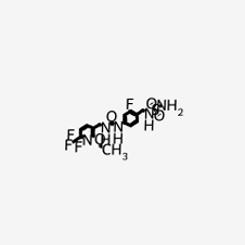 CCOc1nc(C(F)(F)F)ccc1CNC(=O)Nc1ccc(CNS(N)(=O)=O)c(F)c1